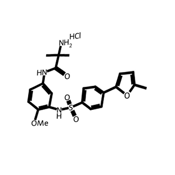 COc1ccc(NC(=O)C(C)(C)N)cc1NS(=O)(=O)c1ccc(-c2ccc(C)o2)cc1.Cl